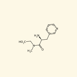 CN(CC(=O)O)C(=O)[C@@H](N)Cc1cccnc1